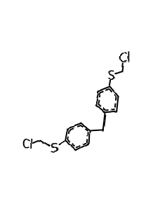 ClCSc1ccc(Cc2ccc(SCCl)cc2)cc1